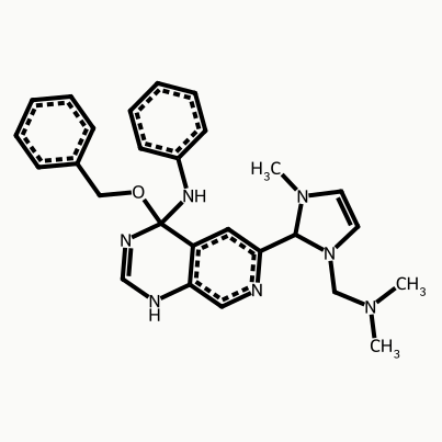 CN(C)CN1C=CN(C)C1c1cc2c(cn1)NC=NC2(Nc1ccccc1)OCc1ccccc1